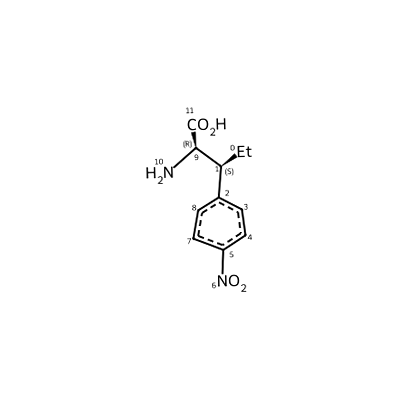 CC[C@@H](c1ccc([N+](=O)[O-])cc1)[C@@H](N)C(=O)O